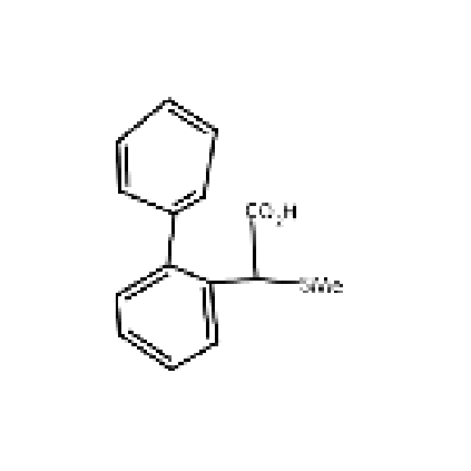 CSC(C(=O)O)c1ccccc1-c1ccccc1